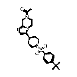 CC(=O)N1CCn2c(C3CCN(S(=O)(=O)c4ccc(C(C)(C)C)cc4)CC3)cnc2C1